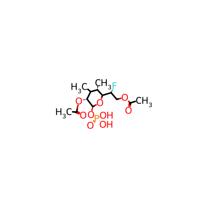 CC(=O)OC[C@H](F)C1O[C@@H](OP(=O)(O)O)[C@H](OC(C)=O)C(C)[C@@H]1C